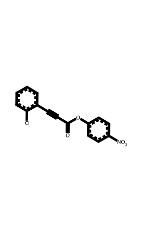 O=C(C#Cc1ccccc1Cl)Oc1ccc([N+](=O)[O-])cc1